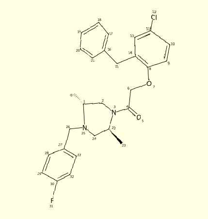 C[C@@H]1CN(C(=O)COc2ccc(Cl)cc2Cc2ccccc2)[C@@H](C)CN1Cc1ccc(F)cc1